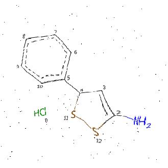 Cl.NC1=CC(c2ccccc2)SS1